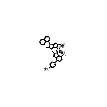 CC1=Cc2c(-c3ccc(C(C)(C)C)cc3)ccc(C)c2[CH]1[Zr]([CH3])([CH3])(=[SiH2])[C]1=C(C(C)C)C=C2C1=CC(C)N2c1cccc2ccccc12.Cl.Cl